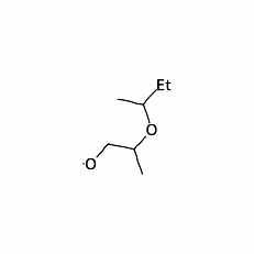 CCC(C)OC(C)C[O]